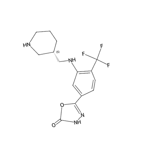 O=c1[nH]nc(-c2ccc(C(F)(F)F)c(NC[C@H]3CCCNC3)c2)o1